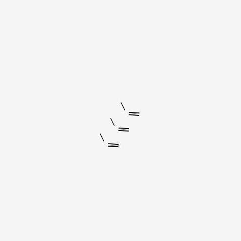 O=P[O-].O=P[O-].O=P[O-].[Er+3]